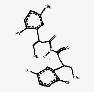 CC(C)(C)CC(C(=O)N(N)C(=O)C(CC(C)(C)C)c1cc(C(C)(C)C)ccc1O)c1cc(C(C)(C)C)ccc1O